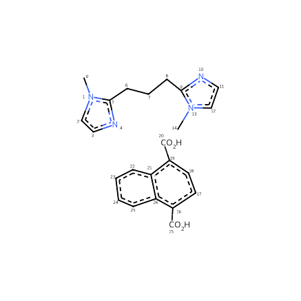 Cn1ccnc1CCCc1nccn1C.O=C(O)c1ccc(C(=O)O)c2ccccc12